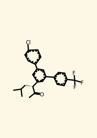 CC(=O)[C@H](CC(C)C)c1cc(-c2ccc(Cl)cc2)cc(-c2ccc(C(F)(F)F)cc2)c1